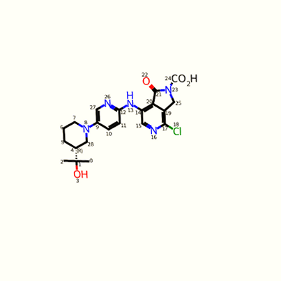 CC(C)(O)[C@@H]1CCCN(c2ccc(Nc3cnc(Cl)c4c3C(=O)N(C(=O)O)C4)nc2)C1